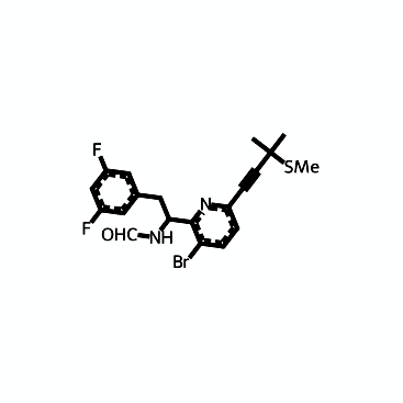 CSC(C)(C)C#Cc1ccc(Br)c(C(Cc2cc(F)cc(F)c2)NC=O)n1